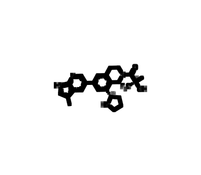 Cc1c[nH]c2ncc(-c3cc4c(c([C@@H]5CCCN5)c3)CN(C(=O)[C@@](C)(O)C(F)(F)F)CC4)cc12